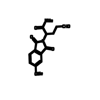 CNC(=O)C(CCC=O)N1C(=O)c2ccc(OC)cc2C1=O